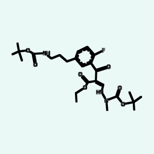 CCOC(=O)C(=CNN(C)C(=O)OC(C)(C)C)C(=O)c1cc(CCCNC(=O)OC(C)(C)C)ccc1F